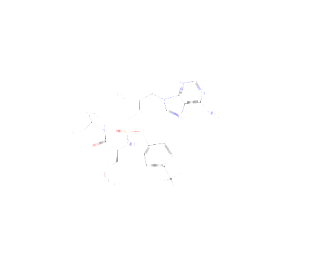 COC[C@H](N[P@](=O)(CO[C@H](C)Cn1cnc2c(N)ncnc21)Oc1ccc(C(F)(F)F)cc1)C(=O)NC(C)C